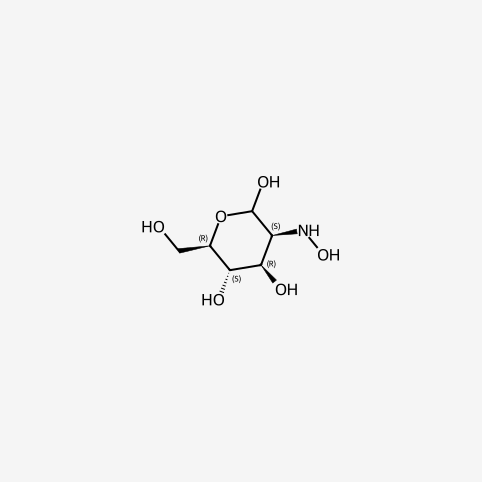 OC[C@H]1OC(O)[C@@H](NO)[C@@H](O)[C@@H]1O